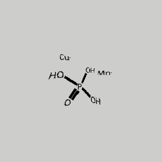 O=P(O)(O)O.[Cu].[Mn]